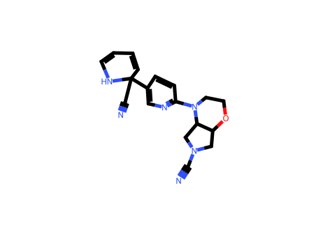 N#CN1CC2OCCN(c3ccc(C4(C#N)C=CC=CN4)cn3)C2C1